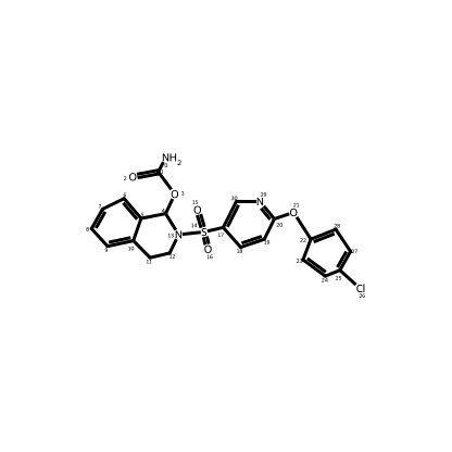 NC(=O)OC1c2ccccc2CCN1S(=O)(=O)c1ccc(Oc2ccc(Cl)cc2)nc1